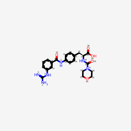 N=C(N)Nc1cccc(C(=O)Nc2ccc(C[C@H](NC(=O)N3CCOCC3)C(=O)O)cc2)c1